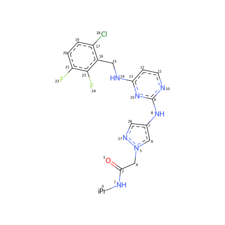 CC(C)NC(=O)Cn1cc(Nc2nccc(NCc3c(Cl)ccc(F)c3F)n2)cn1